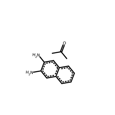 CC(C)=O.Nc1cc2ccccc2cc1N